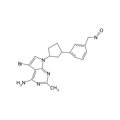 Cc1nc(N)c2c(Br)cn(C3CCC(c4cccc(CN=O)c4)C3)c2n1